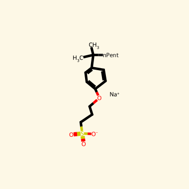 CCCCCC(C)(C)c1ccc(OCCCS(=O)(=O)[O-])cc1.[Na+]